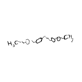 CCC/C=C/[C@H]1CC[C@H](CCc2ccc(CCCCc3ccc(COCCC)cc3)cc2)CC1